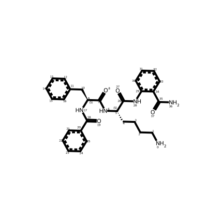 NCCCC[C@H](NC(=O)[C@H](Cc1ccccc1)NC(=O)c1ccccc1)C(=O)Nc1ccccc1C(N)=O